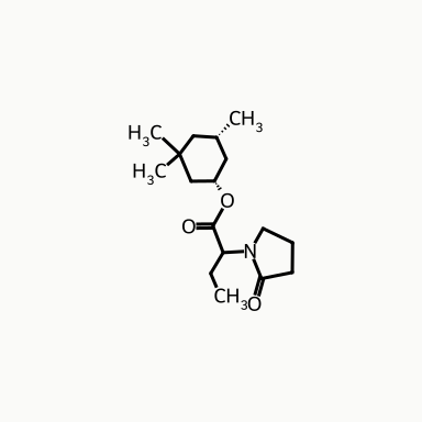 CCC(C(=O)O[C@H]1C[C@@H](C)CC(C)(C)C1)N1CCCC1=O